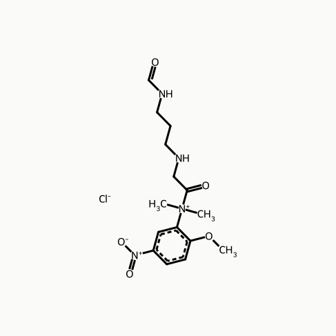 COc1ccc([N+](=O)[O-])cc1[N+](C)(C)C(=O)CNCCCNC=O.[Cl-]